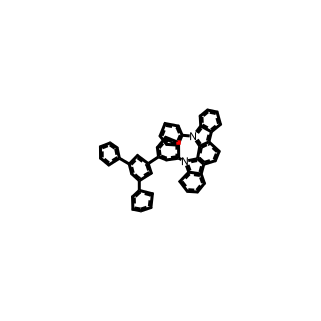 c1ccc(-c2cc(-c3ccccc3)cc(-c3cccc(-n4c5ccccc5c5ccc6c7ccccc7n(-c7ccccc7)c6c54)c3)c2)cc1